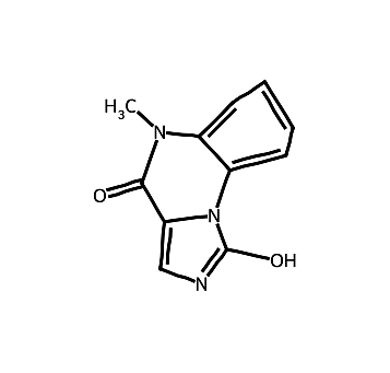 Cn1c(=O)c2cnc(O)n2c2ccccc21